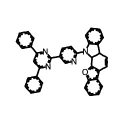 C1=CC2c3ccccc3N(c3ccc(-c4nc(-c5ccccc5)cc(-c5ccccc5)n4)cn3)C2c2oc3ccccc3c21